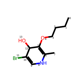 CCCCOC1=C(C)NC=C(Br)C1O